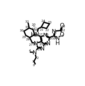 CCCN(C)c1nc2nc(-c3nc(=O)o[nH]3)nc(N[C@H](C)C3CCC3)c2n1CC1CCC(C)CC1